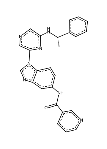 C[C@H](Nc1cncc(-n2cnc3cc(NC(=O)c4cccnc4)ccc32)n1)c1ccccc1